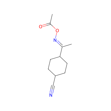 CC(=O)ON=C(C)C1CCC(C#N)CC1